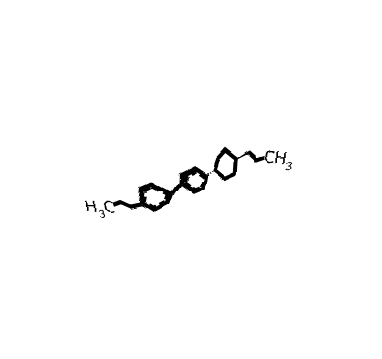 CCCc1ccc(-c2ccc([C@H]3CC[C@H](CCC)CC3)cc2)cc1